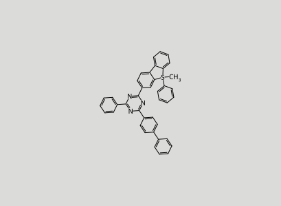 CS1(c2ccccc2)c2ccccc2-c2ccc(-c3nc(-c4ccccc4)nc(-c4ccc(-c5ccccc5)cc4)n3)cc21